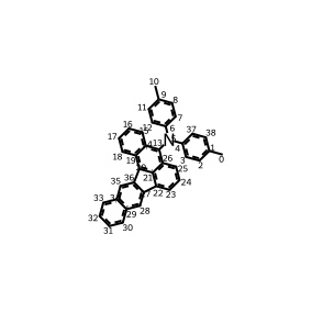 Cc1ccc(N(c2ccc(C)cc2)c2c3ccccc3c3c4c(cccc24)-c2cc4ccccc4cc2-3)cc1